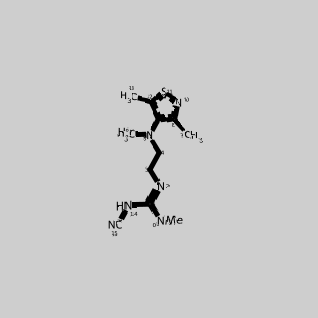 CNC(=NCCN(C)c1c(C)nsc1C)NC#N